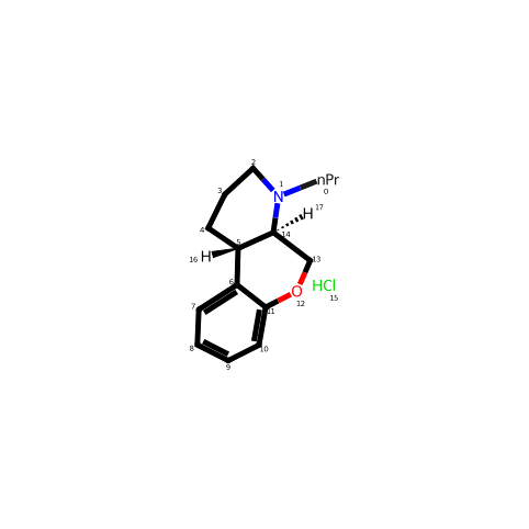 CCCN1CCC[C@H]2c3ccccc3OC[C@@H]21.Cl